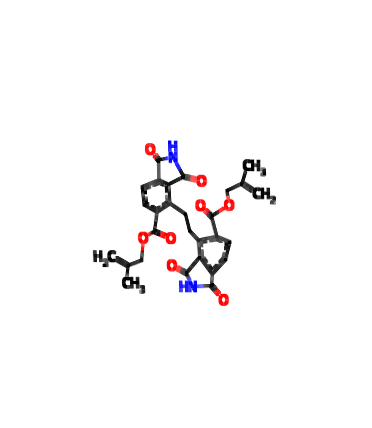 C=C(C)COC(=O)c1ccc2c(c1CCc1c(C(=O)OCC(=C)C)ccc3c1C(=O)NC3=O)C(=O)NC2=O